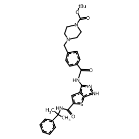 CC(C)(C)OC(=O)N1CCN(Cc2ccc(C(=O)Nc3n[nH]c4sc(C(=O)NC(C)(C)c5ccccc5)cc34)cc2)CC1